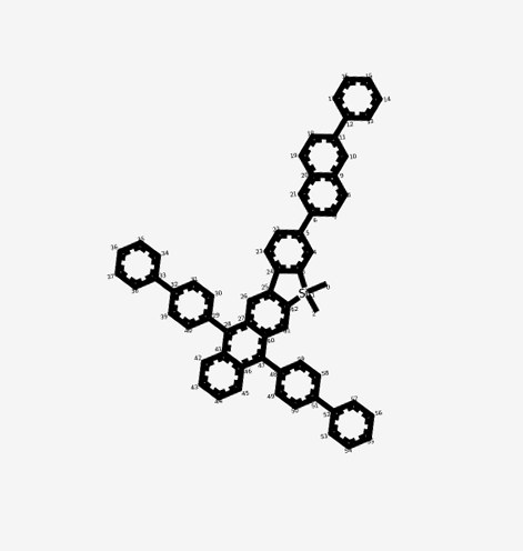 C[Si]1(C)c2cc(-c3ccc4cc(-c5ccccc5)ccc4c3)ccc2-c2cc3c(-c4ccc(-c5ccccc5)cc4)c4ccccc4c(-c4ccc(-c5ccccc5)cc4)c3cc21